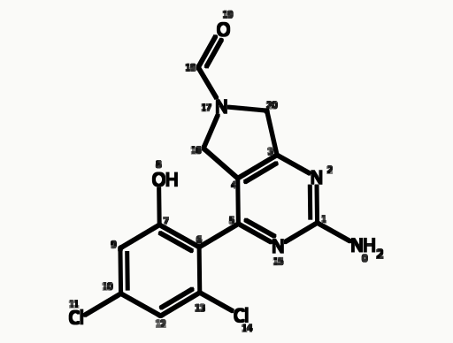 Nc1nc2c(c(-c3c(O)cc(Cl)cc3Cl)n1)CN(C=O)C2